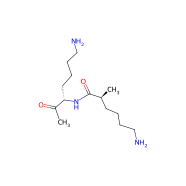 CC(=O)[C@H](CCCCN)NC(=O)[C@@H](C)CCCCN